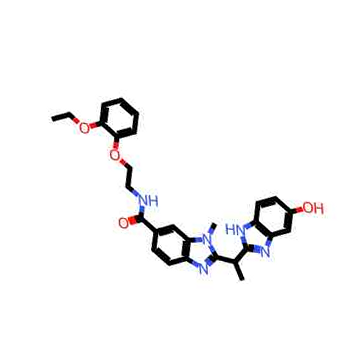 CCOc1ccccc1OCCNC(=O)c1ccc2nc(C(C)c3nc4cc(O)ccc4[nH]3)n(C)c2c1